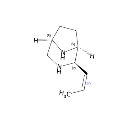 C/C=C\[C@H]1NC[C@H]2CC[C@@H]1N2